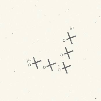 CC(C)(C)[O-].CC(C)(C)[O-].CC(C)(C)[O-].CC(C)(C)[O-].CC(C)(C)[O-].[K+].[Ti+4]